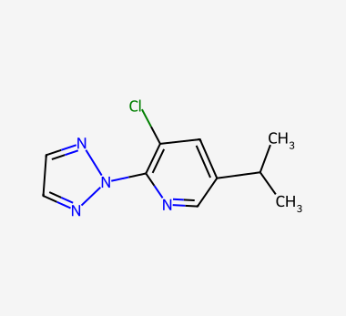 CC(C)c1cnc(-n2nccn2)c(Cl)c1